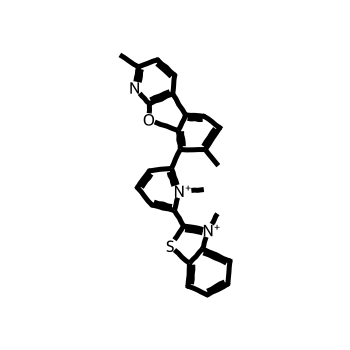 Cc1ccc2c(n1)oc1c(-c3cccc(-c4sc5ccccc5[n+]4C)[n+]3C)c(C)ccc12